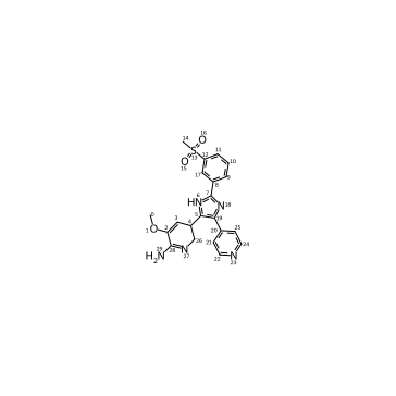 COC1=CC(c2[nH]c(-c3cccc(S(C)(=O)=O)c3)nc2-c2ccncc2)CN=C1N